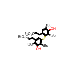 CCOC(=O)CCc1cc(C(C)(C)C)c(O)c(C(C)(C)C)c1Sc1cc(CCC(=O)OCC)c(C(C)(C)C)c(O)c1C(C)(C)C